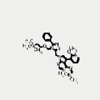 COc1ncccc1-c1cn(Cc2nnc(-c3ccccc3)n2COCC[Si](C)(C)C)c2ncnc(/N=C\N(C)C)c12